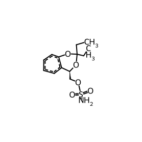 CCC1(CC)Oc2ccccc2[C@H](COS(N)(=O)=O)O1